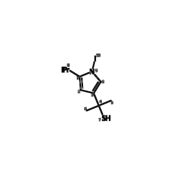 CC(C)c1cc(C(C)(C)S)cn1I